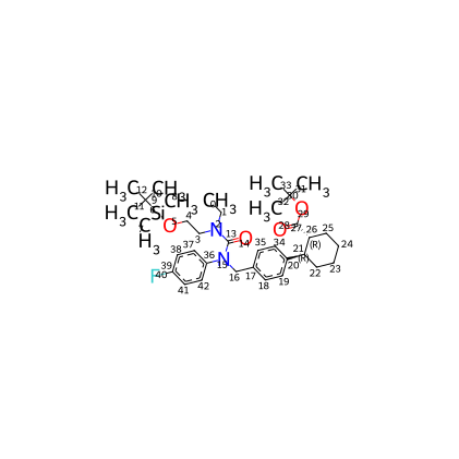 CCN(CCO[Si](C)(C)C(C)(C)C)C(=O)N(Cc1ccc([C@@H]2CCCC[C@H]2C(=O)OC(C)(C)C)cc1)c1ccc(F)cc1